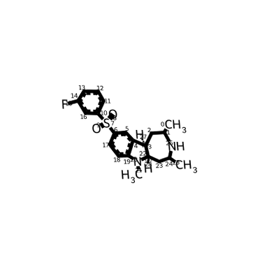 CC1C[C@@H]2c3cc(S(=O)(=O)c4cccc(F)c4)ccc3N(C)[C@H]2CC(C)N1